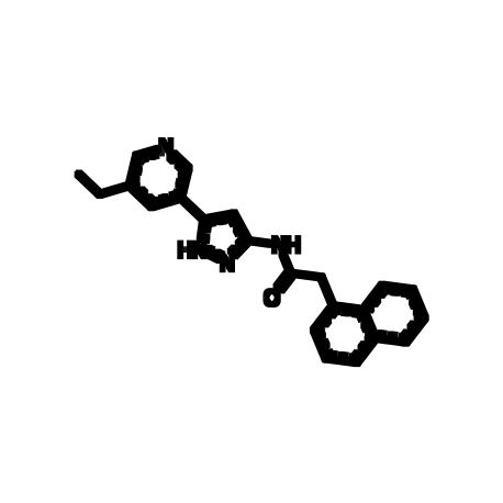 CCc1cncc(-c2cc(NC(=O)Cc3cccc4ccccc34)n[nH]2)c1